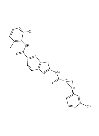 Cc1cccc(Cl)c1NC(=O)c1ccc2nc(NC(=O)[C@@H]3C[C@H]3c3cccc(C#N)c3)sc2c1